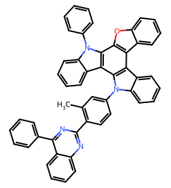 Cc1cc(-n2c3ccccc3c3c4c5ccccc5oc4c4c(c5ccccc5n4-c4ccccc4)c32)ccc1-c1nc(-c2ccccc2)c2ccccc2n1